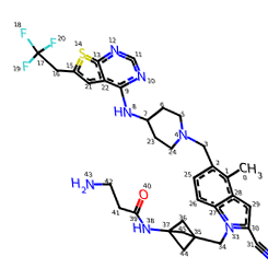 Cc1c(CN2CCC(Nc3ncnc4sc(CC(F)(F)F)cc34)CC2)ccc2c1cc(C#N)n2CC12CC(NC(=O)CCN)(C1)C2